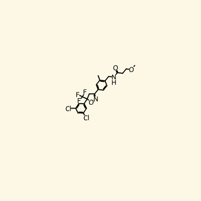 COCCC(=O)NCc1ccc(C2=NOC(c3cc(Cl)cc(Cl)c3)(C(F)(F)F)C2)cc1C